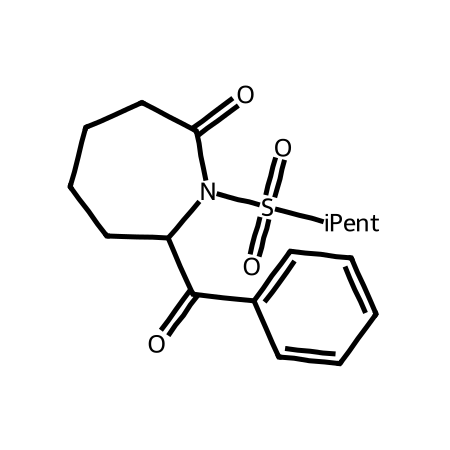 CCCC(C)S(=O)(=O)N1C(=O)CCCCC1C(=O)c1ccccc1